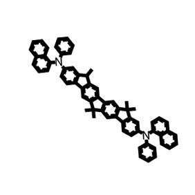 CC1c2cc(N(c3ccccc3)c3cccc4ccccc34)ccc2-c2cc3c(cc21)-c1cc2c(cc1C3(C)C)-c1ccc(N(c3ccccc3)c3cccc4ccccc34)cc1C2(C)C